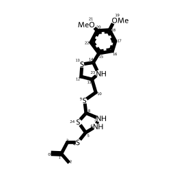 C=C(C)CSC1NNC(SCC2CSC(c3ccc(OC)c(OC)c3)N2)S1